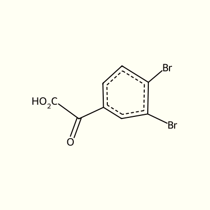 O=C(O)C(=O)c1ccc(Br)c(Br)c1